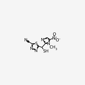 Cn1c([N+](=O)[O-])cnc1C(S)c1nnc(C#N)s1